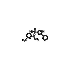 COc1nc(C)ccc1NS(=O)(=O)c1c[nH]c(-c2ccccc2)c1